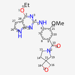 CCOc1nc(Nc2ccc(C(=O)N3CCC4(COC4)C3)cc2OC)nc2[nH]ccc12